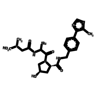 Cc1ncsc1-c1ccc(CNC(=O)[C@@H]2C[C@@H](O)CN2C(=O)C(NC(=O)CN(C)C(=O)O)C(C)(C)C)cc1